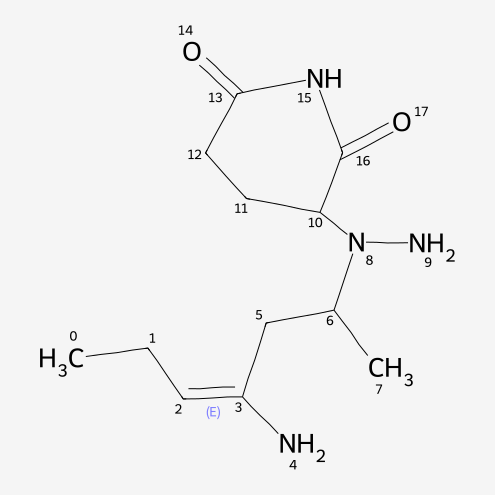 CC/C=C(/N)CC(C)N(N)C1CCC(=O)NC1=O